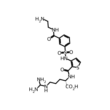 NCCNC(=O)c1cccc(S(=O)(=O)Nc2ccsc2C(=O)N[C@@H](CCCNC(N)N)C(=O)O)c1